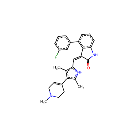 Cc1[nH]c(/C=C2\C(=O)Nc3cccc(-c4cccc(F)c4)c32)c(C)c1C1=CCN(C)CC1